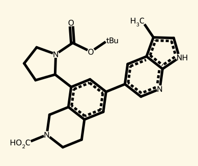 Cc1c[nH]c2ncc(-c3cc4c(c(C5CCCN5C(=O)OC(C)(C)C)c3)CN(C(=O)O)CC4)cc12